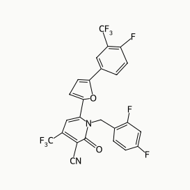 N#Cc1c(C(F)(F)F)cc(-c2ccc(-c3ccc(F)c(C(F)(F)F)c3)o2)n(Cc2ccc(F)cc2F)c1=O